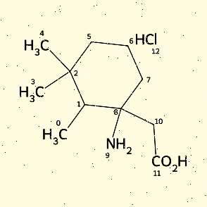 CC1C(C)(C)CCCC1(N)CC(=O)O.Cl